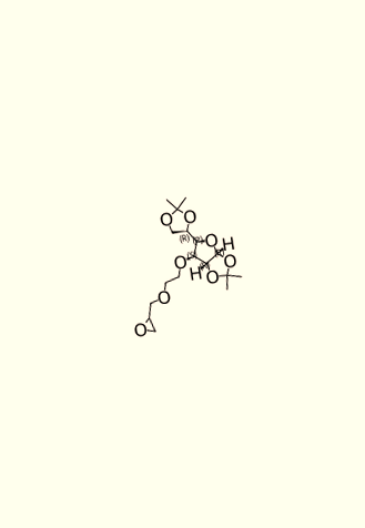 CC1(C)O[C@H]2O[C@H]([C@H]3COC(C)(C)O3)[C@H](OCCOCC3CO3)[C@H]2O1